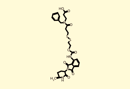 C=C1CCC(N2C(=O)c3cccc(NC(=O)OCCSSCCC(=O)N(CCC(=O)O)Cc4ccccc4)c3C2=O)C(=O)N1